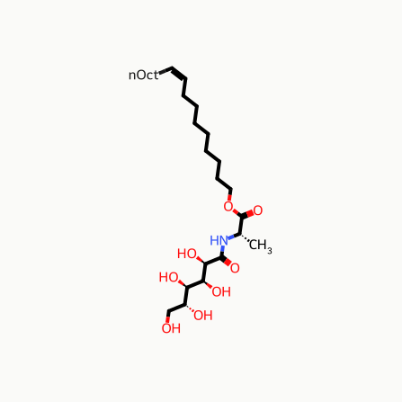 CCCCCCCC/C=C\CCCCCCCCOC(=O)[C@H](C)NC(=O)[C@H](O)[C@@H](O)[C@H](O)[C@H](O)CO